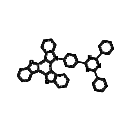 c1ccc(-c2nc(-c3ccccc3)nc(-c3ccc(-n4c5ccccc5c5c6oc7ccccc7c6c6oc7ccccc7c6c54)cc3)n2)cc1